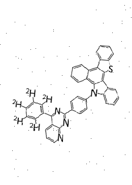 [2H]c1c([2H])c([2H])c(-c2nc(-c3ccc(-n4c5ccccc5c5c6sc7ccccc7c6c6ccccc6c54)cc3)nc3ncccc23)c([2H])c1[2H]